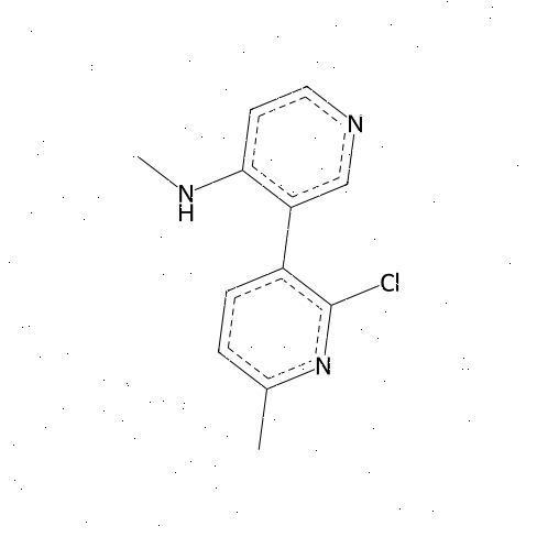 CNc1ccncc1-c1ccc(C)nc1Cl